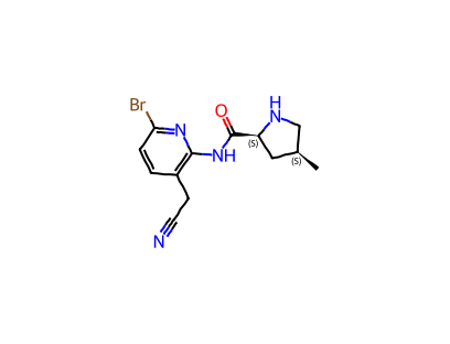 C[C@@H]1CN[C@H](C(=O)Nc2nc(Br)ccc2CC#N)C1